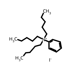 CCCCC[N+](CCCCC)(CCCCC)c1ccccc1.[I-]